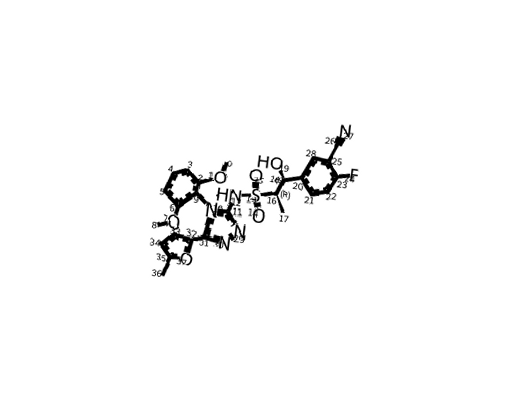 COc1cccc(OC)c1-n1c(NS(=O)(=O)[C@H](C)[C@@H](O)c2ccc(F)c(C#N)c2)nnc1-c1ccc(C)o1